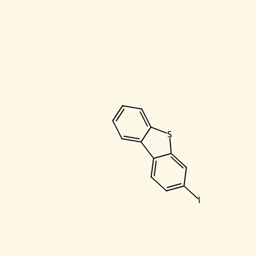 Ic1ccc2c(c1)sc1ccccc12